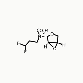 O=C(O)N(CCC(F)F)[C@@H]1OC[C@@H]2O[C@H]21